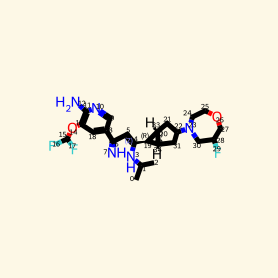 CC(C)N/C(=C\C(=N)c1cnc(N)c(OC(F)F)c1)[C@H]1[C@@H]2CC(N3CCOCC(F)C3)C[C@@H]21